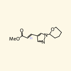 COC(=O)/C=C/c1cnn(C2CCCCO2)c1